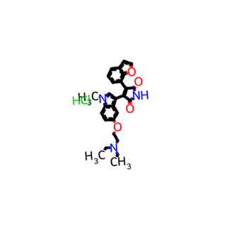 CCN(CC)CCOc1ccc2c(c1)c(C1=C(c3cccc4ccoc34)C(=O)NC1=O)cn2C.Cl